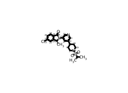 CC(C)S(=O)(=O)N1CCC(c2cncc(N3C(=O)c4ccc(Cl)cc4[C@H]3C)c2)CC1